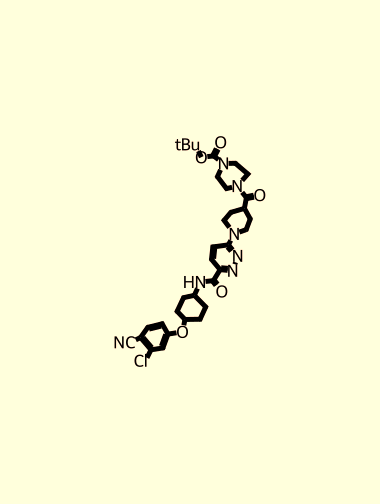 CC(C)(C)OC(=O)N1CCN(C(=O)C2CCN(c3ccc(C(=O)NC4CCC(Oc5ccc(C#N)c(Cl)c5)CC4)nn3)CC2)CC1